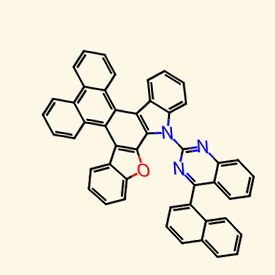 c1ccc2c(-c3nc(-n4c5ccccc5c5c6c7ccccc7c7ccccc7c6c6c7ccccc7oc6c54)nc4ccccc34)cccc2c1